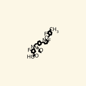 Cc1ccc(COc2nc(-c3ccc(Cc4nc5c(F)cc(C(=O)O)cc5n4C[C@@H]4CCO4)cc3)ccc2F)c(F)c1